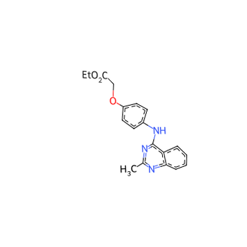 CCOC(=O)COc1ccc(Nc2nc(C)nc3ccccc23)cc1